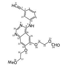 C#Cc1cccc(Nc2ncnc3cc(OCCOC)c(OCCOC=O)cc23)c1